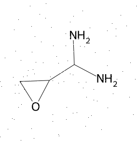 NC(N)C1CO1